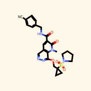 Cn1c(=O)c(C(=O)NCc2ccc(C#N)cc2)cc2cnnc(OCC3(S(=O)(=O)N4CCCC4)CC3)c21